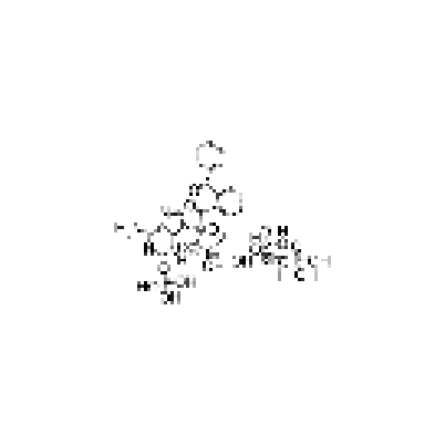 Nc1ncnc2c1ncn2[C@]1(C(=O)c2ccccc2C(=O)c2ccccc2)O[C@H](CO)[C@@H](O)[C@H]1O.O=P(O)(O)O.O=P(O)(O)O.O=P(O)(O)O